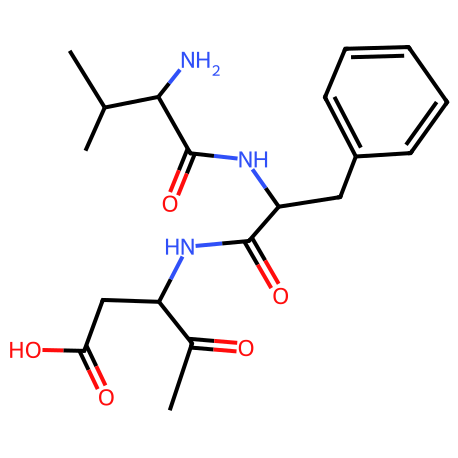 CC(=O)C(CC(=O)O)NC(=O)C(Cc1ccccc1)NC(=O)C(N)C(C)C